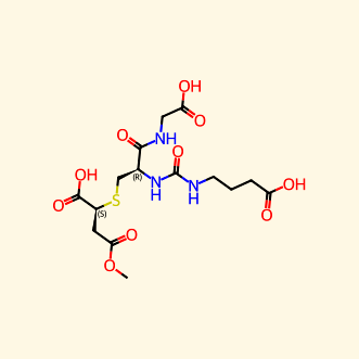 COC(=O)C[C@H](SC[C@H](NC(=O)NCCCC(=O)O)C(=O)NCC(=O)O)C(=O)O